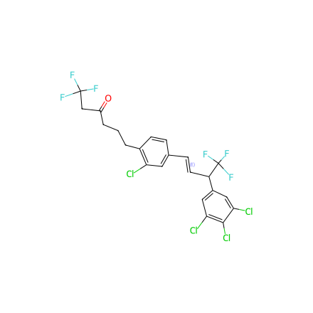 O=C(CCCc1ccc(/C=C/C(c2cc(Cl)c(Cl)c(Cl)c2)C(F)(F)F)cc1Cl)CC(F)(F)F